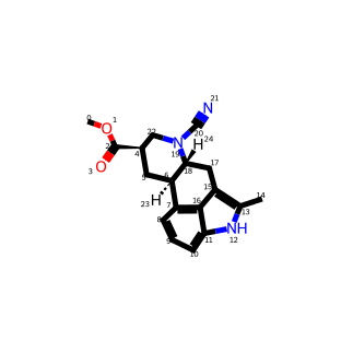 COC(=O)[C@@H]1C[C@@H]2c3cccc4[nH]c(C)c(c34)C[C@H]2N(C#N)C1